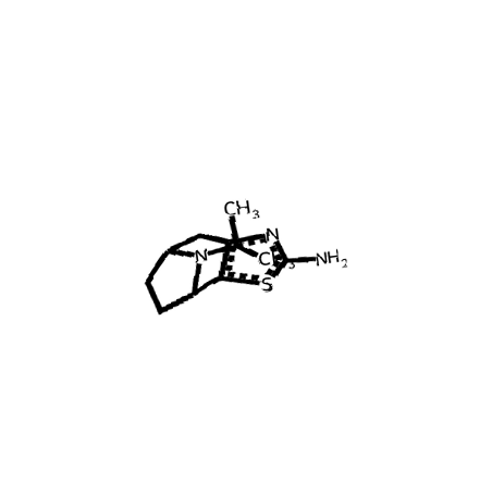 CC(C)N1C2CCC1c1sc(N)nc1C2